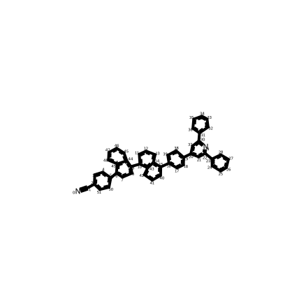 N#Cc1ccc(-c2ccc(-c3cccc4c(-c5ccc(-c6cc(-c7ccccc7)nc(-c7ccccc7)c6)cc5)cccc34)c3ccccc23)cc1